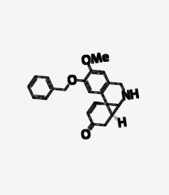 COc1cc2c(cc1OCc1ccccc1)[C@@]13C=CC(=O)C[C@@H]1C3NC2